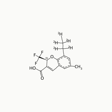 [2H]C([2H])([2H])C([2H])([2H])c1cc(C)cc2c1O[C@H](C(F)(F)F)C(C(=O)O)=C2